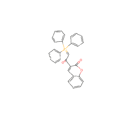 O=C(C=P(c1ccccc1)(c1ccccc1)c1ccccc1)c1cc2ccccc2oc1=O